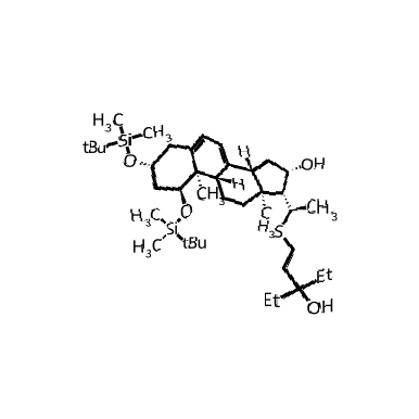 CCC(O)(CC)CCS[C@H](C)[C@H]1[C@@H](O)C[C@H]2C3=CC=C4C[C@@H](O[Si](C)(C)C(C)(C)C)C[C@H](O[Si](C)(C)C(C)(C)C)[C@]4(C)[C@H]3CC[C@]12C